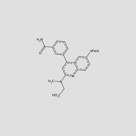 CCCCCc1ccc2nc(N(C)CC(=O)O)cc(-c3cccc(C(N)=O)c3)c2c1